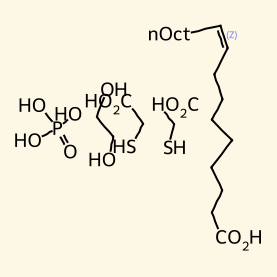 CCCCCCCC/C=C\CCCCCCCC(=O)O.O=C(O)CS.O=C(O)CS.O=P(O)(O)O.OCCO